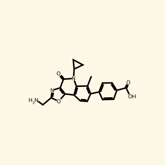 Cc1c(-c2ccc(C(=O)O)cc2)ccc2c3oc(CN)nc3c(=O)n(C3CC3)c12